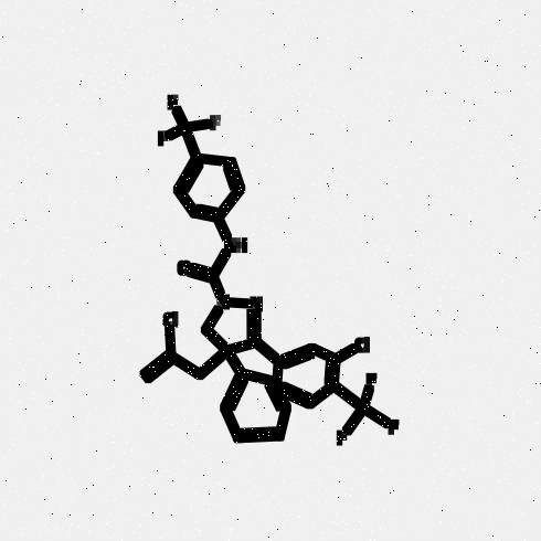 C=C(Cl)CC1(c2ccccc2)CN(C(=O)Nc2ccc(C(F)(F)F)cc2)N=C1c1ccc(C(F)(F)F)c(Cl)c1